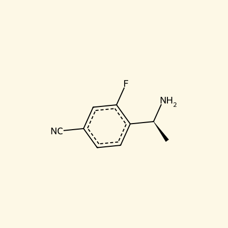 C[C@H](N)c1ccc(C#N)cc1F